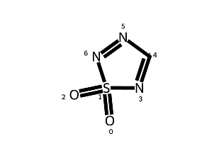 O=S1(=O)N=[C]N=N1